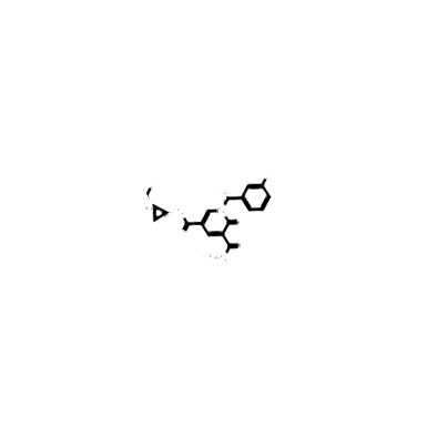 CNC(=O)c1cc(C(=O)N[C@@H]2C[C@H]2CO)cn([C@@H](C)c2cccc(C)c2)c1=O